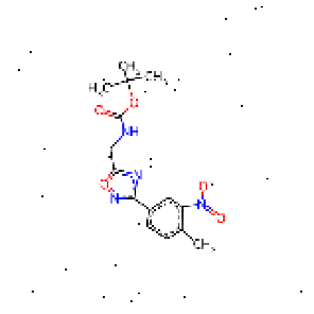 Cc1ccc(-c2noc(CNC(=O)OC(C)(C)C)n2)cc1[N+](=O)[O-]